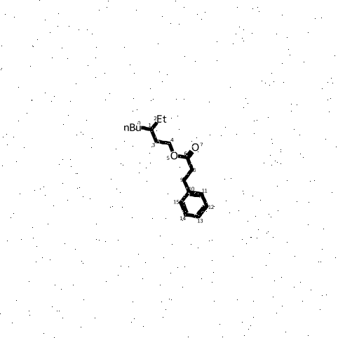 CCCCC(CC)CCOC(=O)CCc1ccccc1